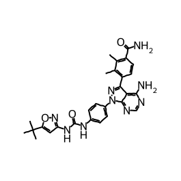 Cc1c(C(N)=O)ccc(-c2nn(-c3ccc(NC(=O)Nc4cc(C(C)(C)C)on4)cc3)c3ncnc(N)c23)c1C